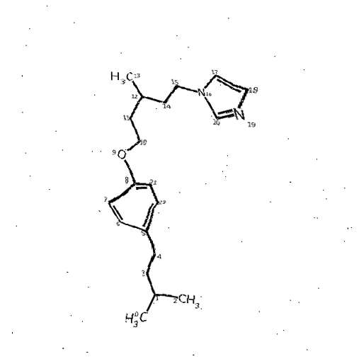 CC(C)CCc1ccc(OCCC(C)CCn2ccnc2)cc1